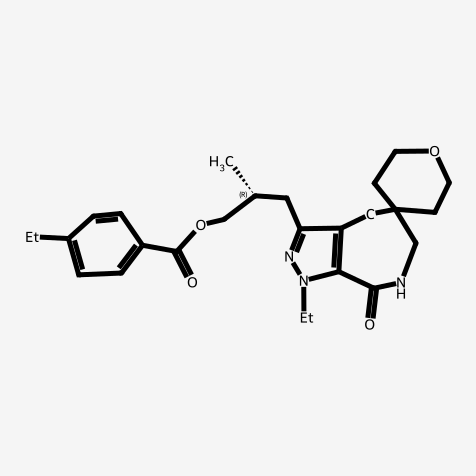 CCc1ccc(C(=O)OC[C@H](C)Cc2nn(CC)c3c2CC2(CCOCC2)CNC3=O)cc1